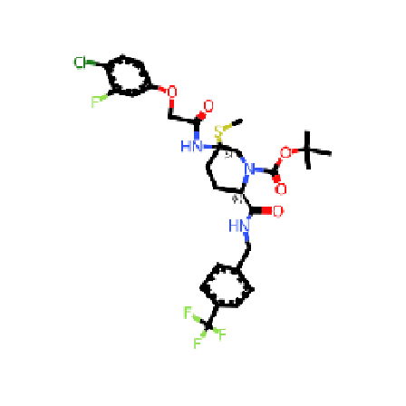 CS[C@@]1(NC(=O)COc2ccc(Cl)c(F)c2)CC[C@H](C(=O)NCc2ccc(C(F)(F)F)cc2)N(C(=O)OC(C)(C)C)C1